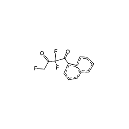 O=C(CF)C(F)(F)C(=O)c1cccc2ccccc12